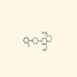 N[C@H]1CCCN(C(=O)CO)[C@H]1COC1CCN(c2ccccc2F)CC1